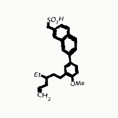 C=CCC(CC)CCc1cc(-c2ccc3ccc(CS(=O)(=O)O)cc3c2)ccc1OC